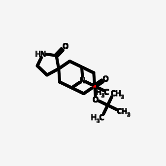 CN1CC2CC3(CCNC3=O)CC(C1)N2C(=O)OC(C)(C)C